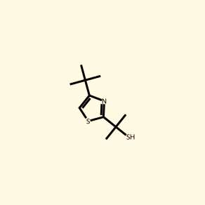 CC(C)(C)c1csc(C(C)(C)S)n1